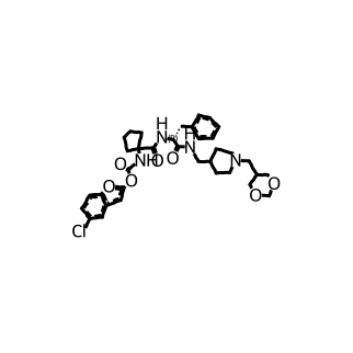 O=C(NC1(C(=O)N[C@H](Cc2ccccc2)C(=O)NCC2CCN(CC3COCOC3)CC2)CCCC1)Oc1cc2cc(Cl)ccc2o1